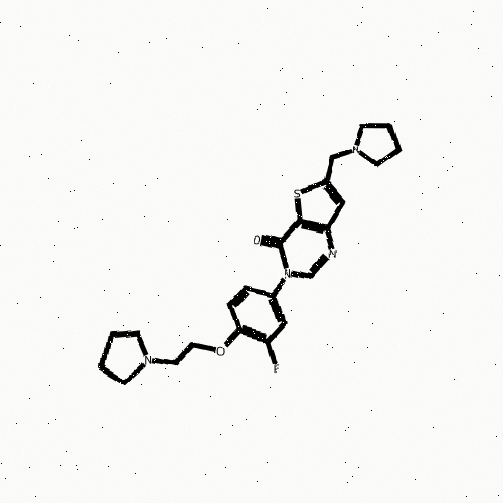 O=c1c2sc(CN3CCCC3)cc2ncn1-c1ccc(OCCN2CCCC2)c(F)c1